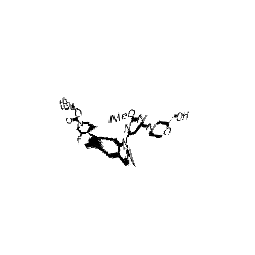 COc1nc(N2CCO[C@@H](CO)C2)cc(-n2ncc3cc(C)c([C@@H]4CCN(C(=O)OC(C)(C)C)C[C@@H]4F)cc32)n1